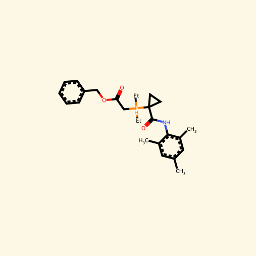 CC[PH](CC)(CC(=O)OCc1ccccc1)C1(C(=O)Nc2c(C)cc(C)cc2C)CC1